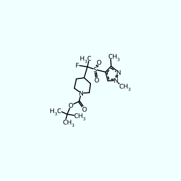 Cc1nn(C)cc1S(=O)(=O)C(C)(F)C1CCN(C(=O)OC(C)(C)C)CC1